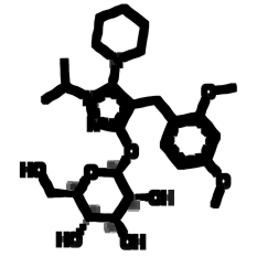 COc1ccc(Cc2c(O[C@@H]3O[C@H](CO)[C@@H](O)[C@H](O)[C@H]3O)nn(C(C)C)c2N2CCCCC2)c(OC)c1